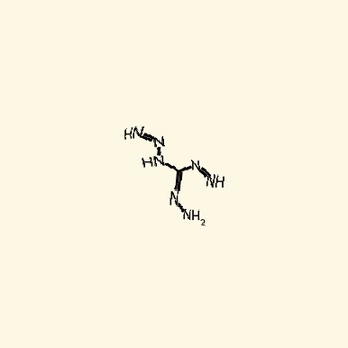 N=NNC(N=N)=NN